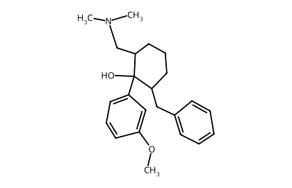 COc1cccc(C2(O)C(Cc3ccccc3)CCCC2CN(C)C)c1